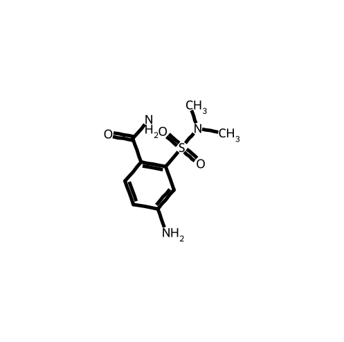 CN(C)S(=O)(=O)c1cc(N)ccc1C(N)=O